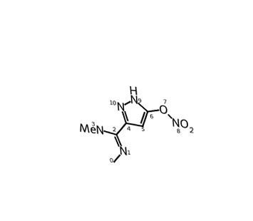 CN=C(NC)c1cc(O[N+](=O)[O-])[nH]n1